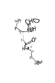 CCC(C)CCNC(=O)C[C@H](CC(C)C)NC=O